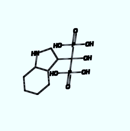 O=P(O)(O)C(O)(C1CNC2CCCCC21)P(=O)(O)O